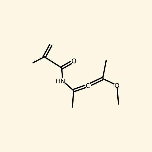 C=C(C)C(=O)NC(C)=C=C(C)OC